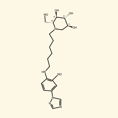 O=NC[C@@H]1[C@@H](O)[C@H](O)[C@@H](O)CN1CCCCCCNc1ccc(-n2cncn2)cc1N=O